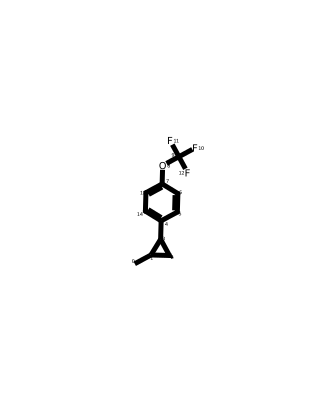 CC1CC1c1ccc(OC(F)(F)F)cc1